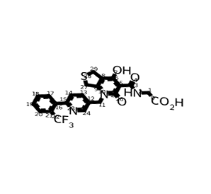 O=C(O)CNC(=O)c1c(O)c2c(n(Cc3ccc(-c4ccccc4C(F)(F)F)nc3)c1=O)CSC2